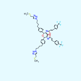 CSCc1cn(CCCCc2ccc(C(OC(c3ccc(CCCCn4cc(CSC)nn4)cc3)c3coc(C=Cc4ccc(C(F)(F)F)cc4)n3)c3coc(C=Cc4ccc(C(F)(F)F)cc4)n3)cc2)nn1